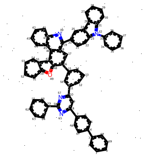 c1ccc(-c2ccc(-c3cc(-c4cccc(-c5cc6c(-c7ccc8c(c7)c7ccccc7n8-c7ccccc7)nc7ccccc7c6c6c5oc5ccccc56)c4)nc(-c4ccccc4)n3)cc2)cc1